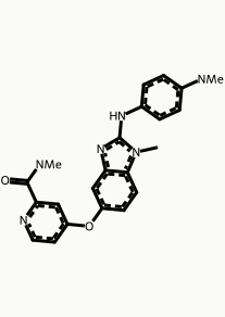 CNC(=O)c1cc(Oc2ccc3c(c2)nc(Nc2ccc(NC)cc2)n3C)ccn1